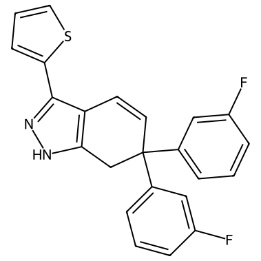 Fc1cccc(C2(c3cccc(F)c3)C=Cc3c(-c4cccs4)n[nH]c3C2)c1